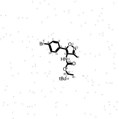 Cc1noc(-c2ccc(Br)cc2)c1NC(=O)O[C@H](C)C(C)(C)C